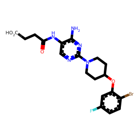 Nc1nc(N2CCC(Oc3cc(F)ccc3Br)CC2)ncc1NC(=O)CCC(=O)O